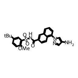 COc1ccc(C(C)(C)C)cc1S(=O)(=O)NC(=O)c1ccc2c(-n3cc(N)cn3)cccc2c1